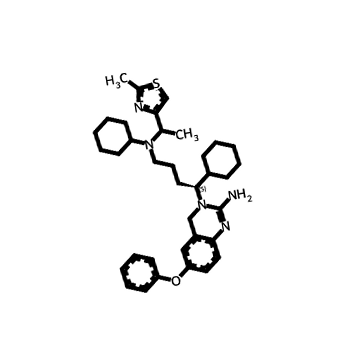 Cc1nc(C(C)N(CCC[C@@H](C2CCCCC2)N2Cc3cc(Oc4ccccc4)ccc3N=C2N)C2CCCCC2)cs1